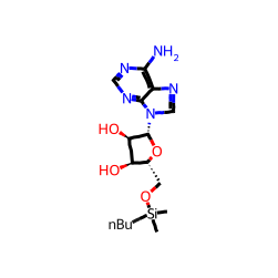 CCCC[Si](C)(C)OC[C@H]1O[C@@H](n2cnc3c(N)ncnc32)[C@H](O)[C@@H]1O